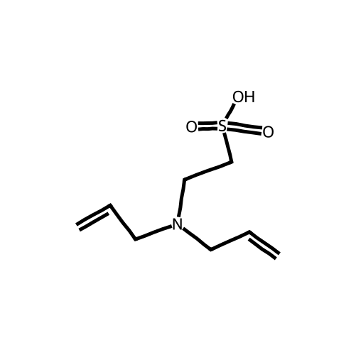 C=CCN(CC=C)CCS(=O)(=O)O